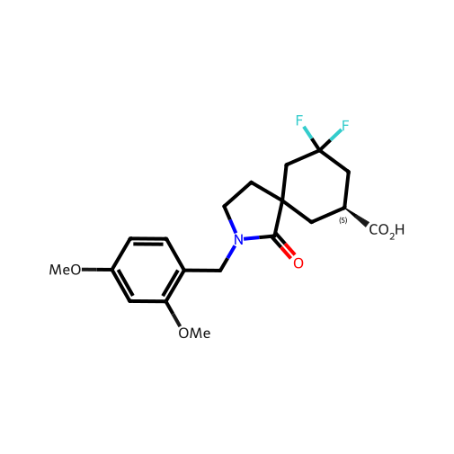 COc1ccc(CN2CCC3(C[C@H](C(=O)O)CC(F)(F)C3)C2=O)c(OC)c1